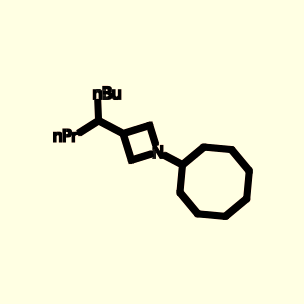 CCCCC(CCC)C1CN(C2CCCCCCC2)C1